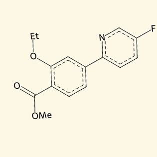 CCOc1cc(-c2ccc(F)cn2)ccc1C(=O)OC